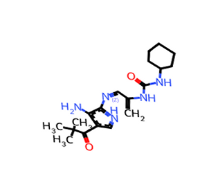 C=C(/C=N\c1[nH]cc(C(=O)C(C)(C)C)c1N)NC(=O)NC1CCCCC1